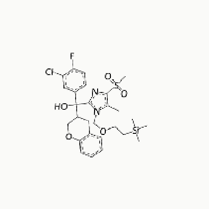 Cc1c(S(C)(=O)=O)nc(C(O)(c2ccc(F)c(Cl)c2)C2COc3ccccc3C2)n1COCC[Si](C)(C)C